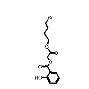 O=C(COC(=O)c1ccccc1O)OCCCCBr